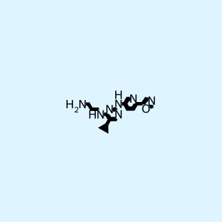 NCCCNc1nc(Nc2ccc(-c3cnco3)nc2)ncc1C1CC1